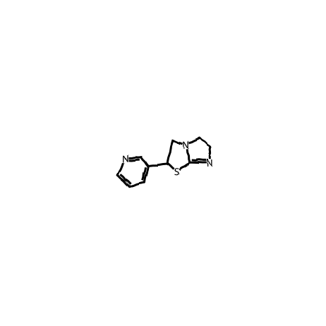 c1cncc(C2CN3CCN=C3S2)c1